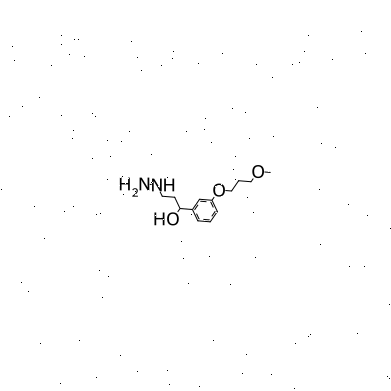 COCCCOc1cccc(C(O)CCNN)c1